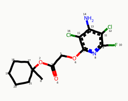 CC1(OC(=O)COc2nc(F)c(Cl)c(N)c2Cl)CCCCC1